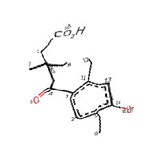 Cc1cc(C(=O)C(C)(C)CC(=O)O)c(C)cc1Br